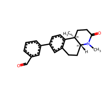 CN1C(=O)CC[C@]2(C)c3ccc(-c4cccc(C=O)c4)cc3CC[C@@H]12